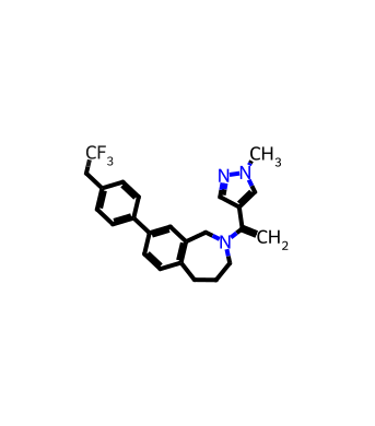 C=C(c1cnn(C)c1)N1CCCc2ccc(-c3ccc(CC(F)(F)F)cc3)cc2C1